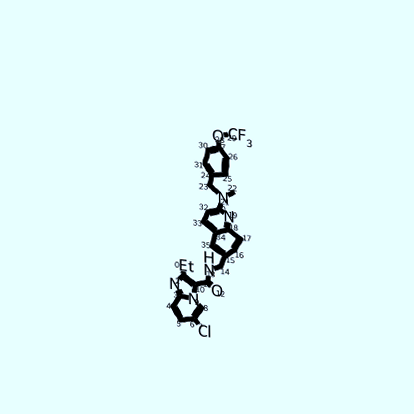 CCc1nc2ccc(Cl)cn2c1C(=O)NCc1ccc2nc(N(C)Cc3ccc(OC(F)(F)F)cc3)ccc2c1